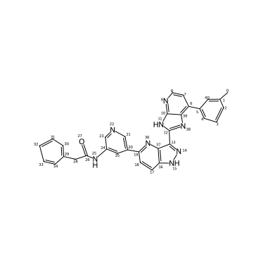 Cc1cccc(-c2ccnc3[nH]c(-c4n[nH]c5ccc(-c6cncc(NC(=O)Cc7ccccc7)c6)nc45)nc23)c1